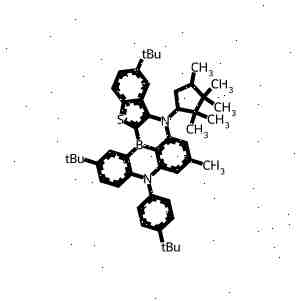 Cc1cc2c3c(c1)N(C1CC(C)C(C)(C)C1(C)C)c1c(sc4ccc(C(C)(C)C)cc14)B3c1cc(C(C)(C)C)ccc1N2c1ccc(C(C)(C)C)cc1